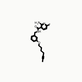 CC#CCCCCOc1cccc(CNC(=O)c2ccc(F)nc2N)c1